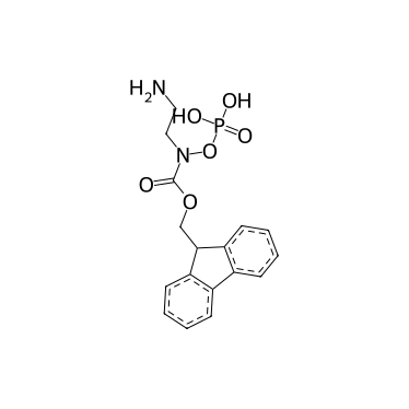 NCCN(OP(=O)(O)O)C(=O)OCC1c2ccccc2-c2ccccc21